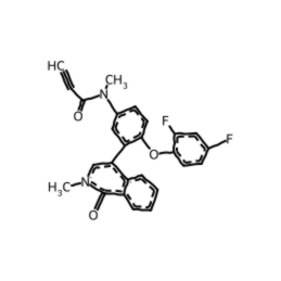 C#CC(=O)N(C)c1ccc(Oc2ccc(F)cc2F)c(-c2cn(C)c(=O)c3ccccc23)c1